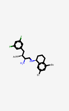 CCCCc1cc(CC)cc2c1CCC[C@@H]2NC[C@@H](N)[C@H](Cc1cc(F)cc(F)c1)NC(C)=O